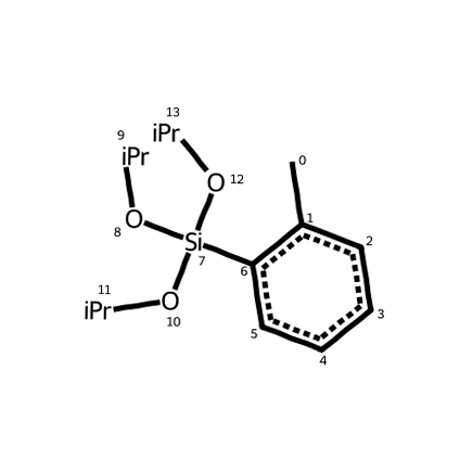 Cc1ccccc1[Si](OC(C)C)(OC(C)C)OC(C)C